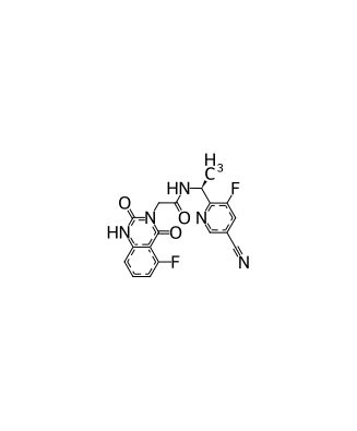 C[C@H](NC(=O)Cn1c(=O)[nH]c2cccc(F)c2c1=O)c1ncc(C#N)cc1F